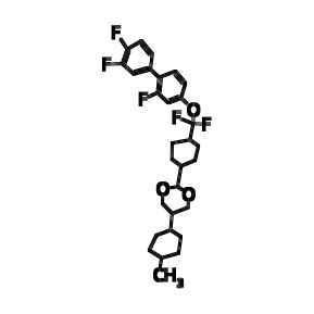 CC1CCC(C2COC(C3CCC(C(F)(F)Oc4ccc(-c5ccc(F)c(F)c5)c(F)c4)CC3)OC2)CC1